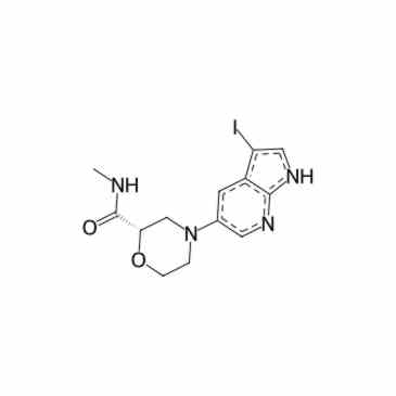 CNC(=O)[C@@H]1CN(c2cnc3[nH]cc(I)c3c2)CCO1